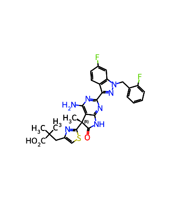 CC(C)(Cc1csc([C@@]2(C)C(=O)Nc3nc(-c4nn(Cc5ccccc5F)c5cc(F)ccc45)nc(N)c32)n1)C(=O)O